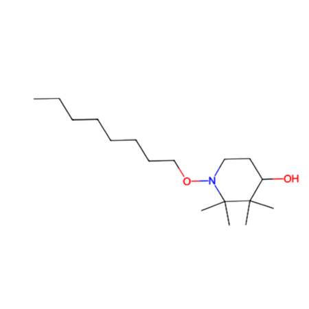 CCCCCCCCON1CCC(O)C(C)(C)C1(C)C